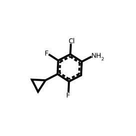 Nc1cc(F)c(C2CC2)c(F)c1Cl